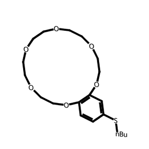 CCCCSc1ccc2c(c1)OCCOCCOCCOCCOCCO2